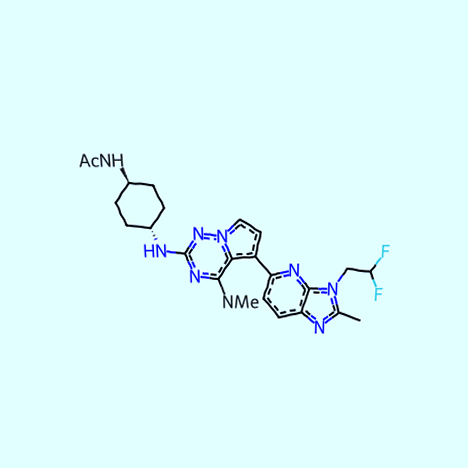 CNc1nc(N[C@H]2CC[C@H](NC(C)=O)CC2)nn2ccc(-c3ccc4nc(C)n(CC(F)F)c4n3)c12